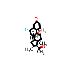 CC(=O)[C@H]1[C@H](C)C[C@H]2[C@@H]3C[C@H](F)C4=CC(=O)C=C[C@]4(C)[C@@]34O[C@H]4C[C@@]21C